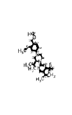 C=C(C)c1cnc(N2CCN(c3ccc(COO)c(SC)c3)CC2C(C)C)nc1C(F)(F)F